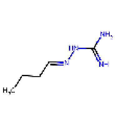 CCC/C=N/NC(=N)N